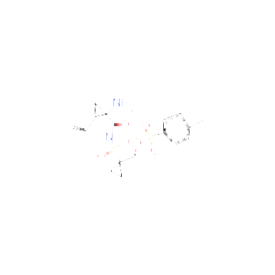 C=CC1CC1(N)C(=O)NS(=O)(=O)C1(COS(=O)(=O)c2ccc(C)cc2)CC1